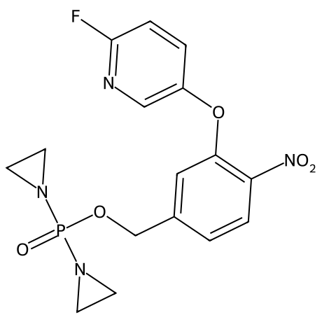 O=[N+]([O-])c1ccc(COP(=O)(N2CC2)N2CC2)cc1Oc1ccc(F)nc1